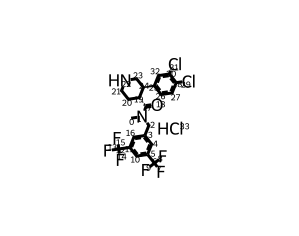 CN(Cc1cc(C(F)(F)F)cc(C(F)(F)F)c1)C(=O)[C@@H]1CCNC[C@H]1c1ccc(Cl)c(Cl)c1.Cl